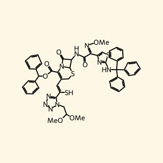 CON=C(C(=O)NC1C(=O)N2C(C(=O)OC(c3ccccc3)c3ccccc3)=C(C=C(S)c3nnnn3CC(OC)OC)CSC12)c1csc(NC(c2ccccc2)(c2ccccc2)c2ccccc2)n1